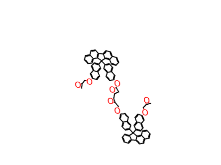 c1ccc2c(c1)-c1ccc3ccccc3c1C2(c1ccc2cc(OCC3CO3)ccc2c1)c1ccc2cc(OCC3OC3C3CC(Oc4ccc5cc(C6(c7ccc8cc(OCC9CO9)ccc8c7)c7c(ccc8ccccc78)-c7ccc8ccccc8c76)ccc5c4)O3)ccc2c1